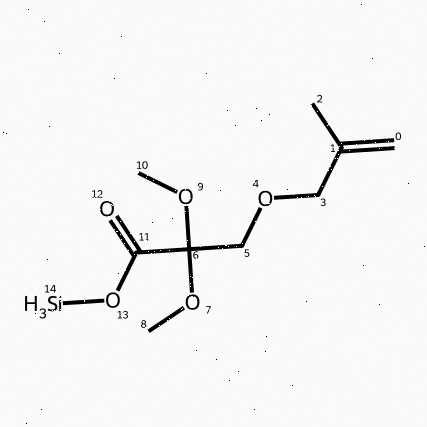 C=C(C)COCC(OC)(OC)C(=O)O[SiH3]